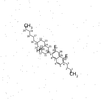 C=CCCc1ccc2cc([C@@H]3CC[C@@H]4CC(CCCCCC)CCC4C3)c(F)cc2c1F